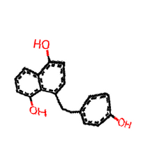 Oc1ccc(Cc2ccc(O)c3cccc(O)c23)cc1